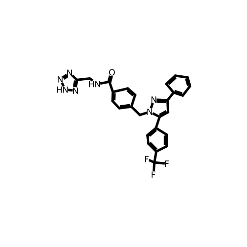 O=C(NCc1nn[nH]n1)c1ccc(Cn2nc(-c3ccccc3)cc2-c2ccc(C(F)(F)F)cc2)cc1